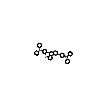 c1ccc(N(c2ccccc2)c2ccc(-c3ccc4cc5c6c(cccc6c4c3)Sc3cc(N(c4ccccc4)c4ccccc4)ccc3-5)cc2)cc1